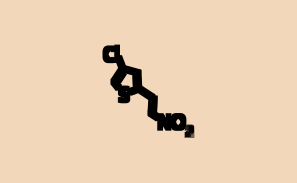 O=[N+]([O-])/C=C/c1cc(Cl)cs1